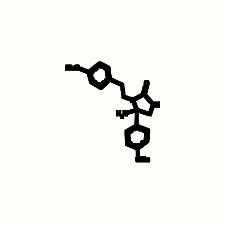 COc1ccc(CCN2C(=O)NCC2(N)c2ccc(OC)cc2)cc1